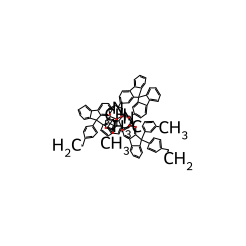 C=Cc1ccc(C2(c3cc(C)ccc3C)c3ccccc3-c3ccc(N(c4ccc5c(c4)C4(c6ccccc6-5)c5ccccc5-c5ccc(N(c6ccc7c(c6)C(c6ccc(C=C)cc6)(c6cc(C)ccc6C)c6ccccc6-7)c6cccc7ccccc67)cc54)c4cccc5ccccc45)cc32)cc1